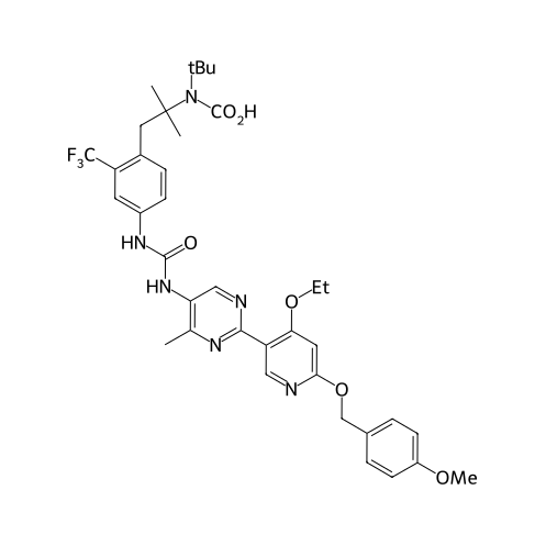 CCOc1cc(OCc2ccc(OC)cc2)ncc1-c1ncc(NC(=O)Nc2ccc(CC(C)(C)N(C(=O)O)C(C)(C)C)c(C(F)(F)F)c2)c(C)n1